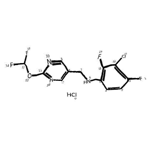 Cl.Fc1ccc(NCc2cnc(OC(F)F)nc2)c(F)c1Cl